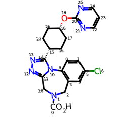 O=C(O)N1Cc2cc(Cl)ccc2-n2c(nnc2[C@H]2CC[C@@H](Oc3ncccn3)CC2)C1